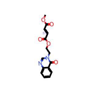 COC(=O)/C=C/C(=O)OCCn1cnc2ccccc2c1=O